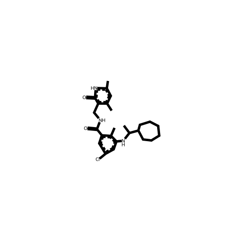 Cc1cc(C)c(CNC(=O)c2cc(Cl)cc(NC(C)C3CCCCCC3)c2C)c(=O)[nH]1